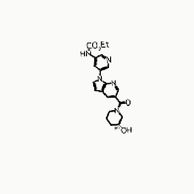 CCOC(=O)Nc1cncc(-n2ccc3cc(C(=O)N4CCC[C@@H](O)C4)cnc32)c1